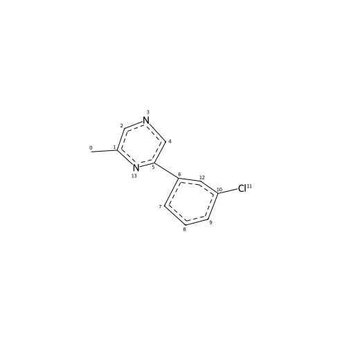 Cc1cncc(-c2cccc(Cl)c2)n1